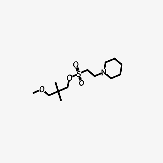 COCC(C)(C)COS(=O)(=O)CCN1CCCCC1